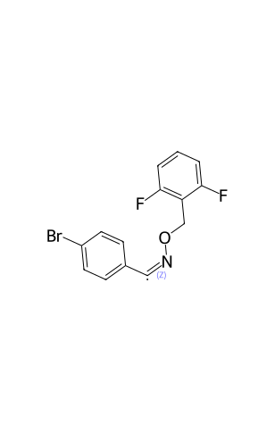 Fc1cccc(F)c1CO/N=[C]\c1ccc(Br)cc1